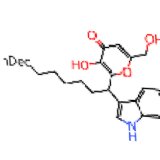 CCCCCCCCCCCCCCCC(c1oc(CO)cc(=O)c1O)c1c[nH]c2ccccc12